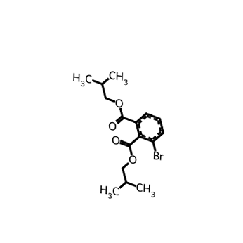 CC(C)COC(=O)c1cccc(Br)c1C(=O)OCC(C)C